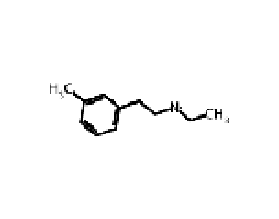 CC[N]CCc1cccc(C)c1